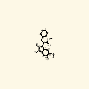 COC(=O)C(Cc1cccnc1)c1c(C)n(C)c2cc(F)c(OC)cc12